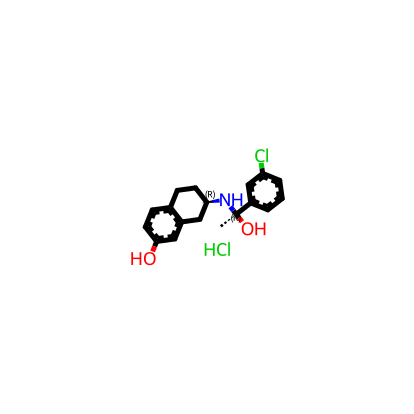 C[C@](O)(N[C@@H]1CCc2ccc(O)cc2C1)c1cccc(Cl)c1.Cl